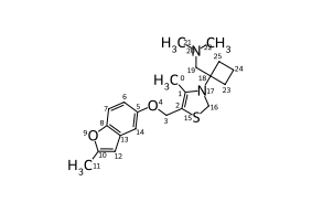 CC1=C(COc2ccc3oc(C)cc3c2)SCN1C1(CN(C)C)CCC1